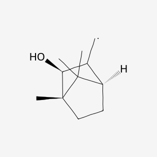 [CH2]C1[C@H]2CC[C@](C)([C@H]1O)C2(C)C